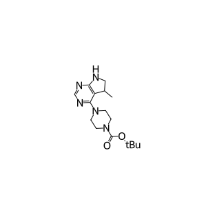 CC1CNc2ncnc(N3CCN(C(=O)OC(C)(C)C)CC3)c21